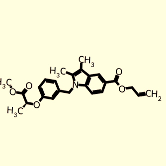 C=CCOC(=O)c1ccc2c(c1)c(C)c(C)n2Cc1cccc(O[C@@H](C)C(=O)OC)c1